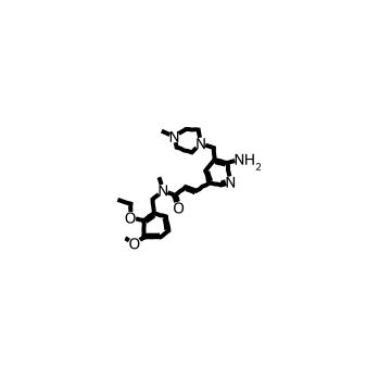 CCOc1c(CN(C)C(=O)C=Cc2cnc(N)c(CN3CCN(C)CC3)c2)cccc1OC